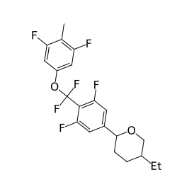 CCC1CCC(c2cc(F)c(C(F)(F)Oc3cc(F)c(C)c(F)c3)c(F)c2)OC1